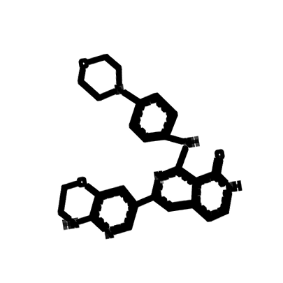 O=c1[nH]ccc2cc(-c3cnc4c(c3)OCCN4)nc(Nc3ccc(N4CCOCC4)cc3)c12